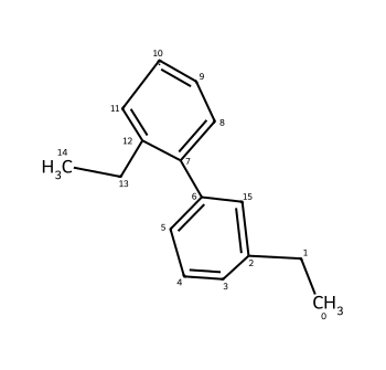 CCc1cccc(-c2cc[c]cc2CC)c1